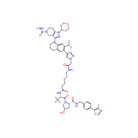 CNC(=O)N1CCc2c(c(N3CCCc4cc(-c5cnn(CC(=O)NCCCCCC(=O)N[C@H](C(=O)N6C[C@H](O)C[C@H]6C(=O)NCc6ccc(-c7scnc7C)cc6)C(C)(C)C)c5)c(C(F)F)cc43)nn2C2CCOCC2)C1